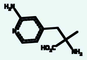 CC(N)(Cc1ccnc(N)c1)C(=O)O